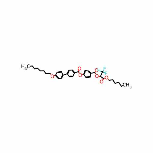 CCCCCCCCOc1ccc(-c2ccc(C(=O)Oc3ccc(C(=O)OC(C(=O)OCCCCCC)C(F)(F)F)cc3)cc2)cc1